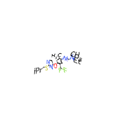 CCN(C)/C=N/c1cc(C(F)F)c(Oc2ccnc(SCC(C)C)n2)cc1C